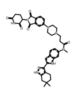 CN(C(=O)CCN1CCN(c2ccc3c(c2)C(=O)N(C2CCC(=O)NC2=O)C3=O)CC1)c1ccc2cc(-c3n[nH]c4c3CCC(C)(C)C4)[nH]c2c1